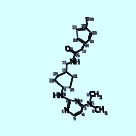 CN(C)c1ccnc(NC2CCC(CNC(=O)Cc3ccc(F)cc3)CC2)n1